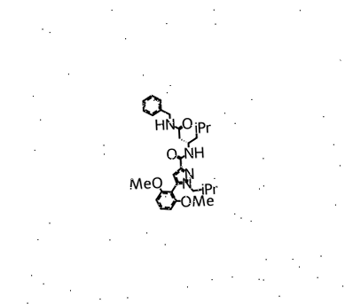 COc1cccc(OC)c1-c1cc(C(=O)N[C@H](CC(=O)NCc2ccccc2)CC(C)C)nn1CC(C)C